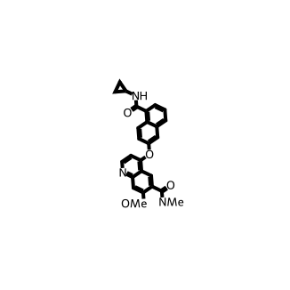 CNC(=O)c1cc2c(Oc3ccc4c(C(=O)NC5CC5)cccc4c3)ccnc2cc1OC